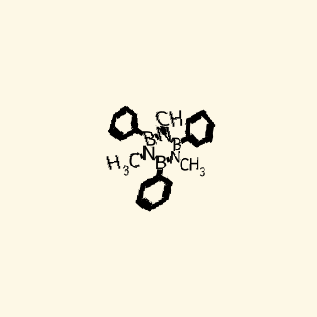 CN1B(c2ccccc2)N(C)B(c2ccccc2)N(C)B1c1ccccc1